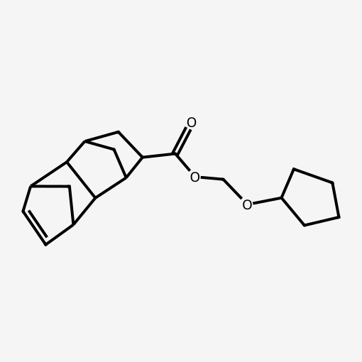 O=C(OCOC1CCCC1)C1CC2CC1C1C3C=CC(C3)C21